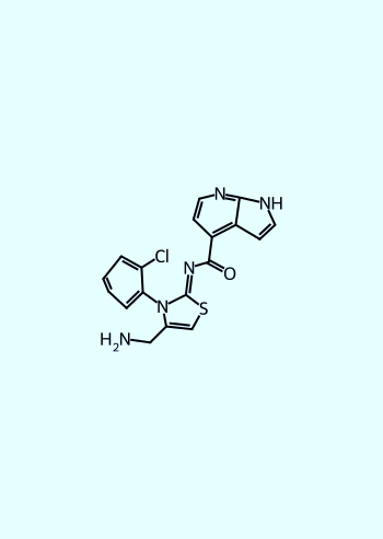 NCc1cs/c(=N\C(=O)c2ccnc3[nH]ccc23)n1-c1ccccc1Cl